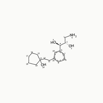 NC[C@H](O)[C@H](O)c1cccc(CCC2(O)CCCCC2)c1